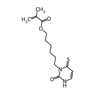 C=C(C)C(=O)OCCCCCCn1c(=S)cc[nH]c1=O